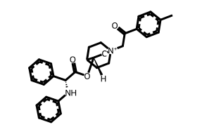 Cc1ccc(C(=O)C[N+]23CCC(CC2)[C@@H](OC(=O)[C@H](Nc2ccccc2)c2ccccc2)C3)cc1